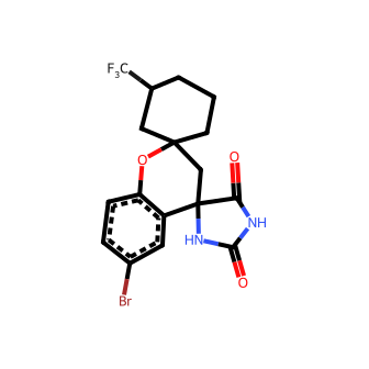 O=C1NC(=O)C2(CC3(CCCC(C(F)(F)F)C3)Oc3ccc(Br)cc32)N1